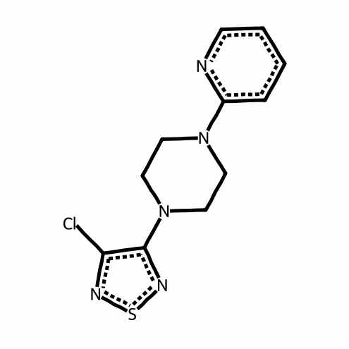 Clc1nsnc1N1CCN(c2ccccn2)CC1